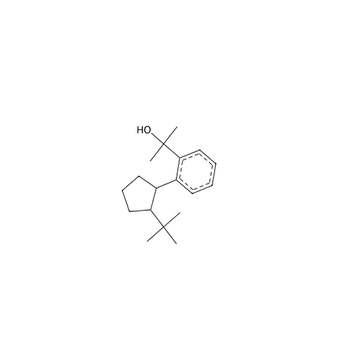 CC(C)(O)c1ccccc1C1CCCC1C(C)(C)C